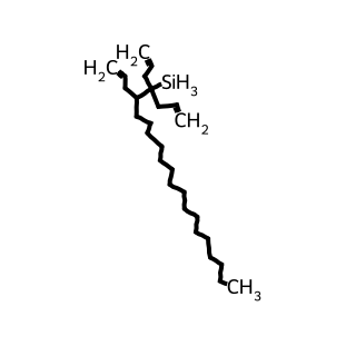 C=CCC(CCCCCCCCCCCCCCCC)C([SiH3])(CC=C)CC=C